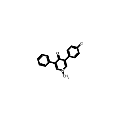 Cn1cc(-c2ccccc2)c(=O)c(-c2ccc(Cl)cc2)c1